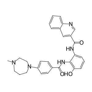 CN1CCCN(c2ccc(C(=O)Nc3c(O)cccc3NC(=O)c3cnc4ccccc4c3)cc2)CC1